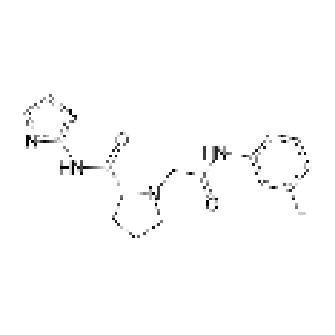 O=C(CN1CCC[C@@H]1C(=O)Nc1nccs1)Nc1cccc(F)c1